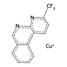 FC(F)(F)c1ccc2c(ncc3ccccc32)n1.[Cu+]